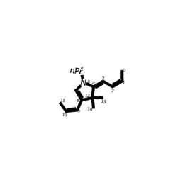 C/C=C\C=C1\N(CCC)C=C(/C=C\C)C1(C)C